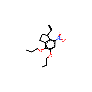 C=CC1CCc2c(OCCC)c(OCCC)cc([N+](=O)[O-])c21